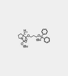 CC(C)(C)OC(=O)N1CCCC1(C)C(=O)OCCCO[Si](c1ccccc1)(c1ccccc1)C(C)(C)C